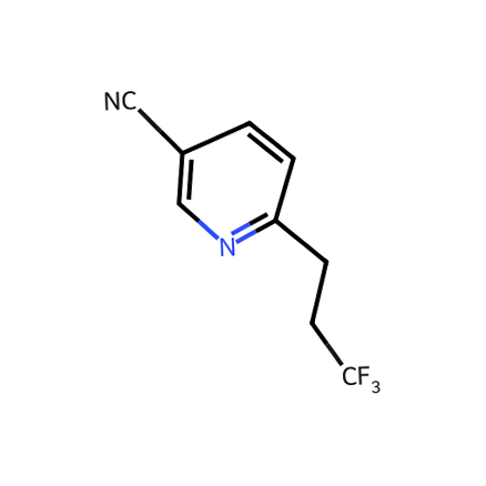 N#Cc1ccc(CCC(F)(F)F)nc1